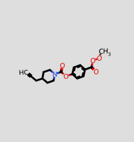 C#CCC1CCN(C(=O)Oc2ccc(C(=O)OOC)cc2)CC1